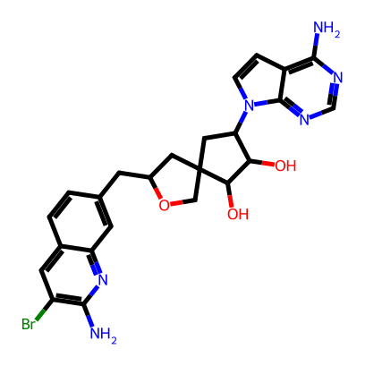 Nc1nc2cc(CC3CC4(CO3)CC(n3ccc5c(N)ncnc53)C(O)C4O)ccc2cc1Br